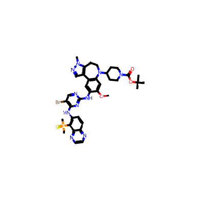 COc1cc2c(cc1Nc1ncc(Br)c(Nc3ccc4nccnc4c3P(C)(C)=S)n1)-c1cnn(C)c1CCN2C1CCN(C(=O)OC(C)(C)C)CC1